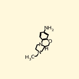 CCN1CCN2c3ccc(N)cc3OC[C@@H]2C1